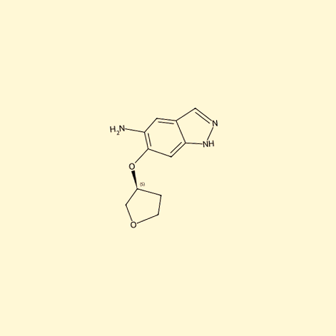 Nc1cc2cn[nH]c2cc1O[C@H]1CCOC1